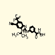 CC(C)n1c(Nc2cccc(C(=O)NO)c2)nc2cc(C(F)(F)F)c(C#N)cc21